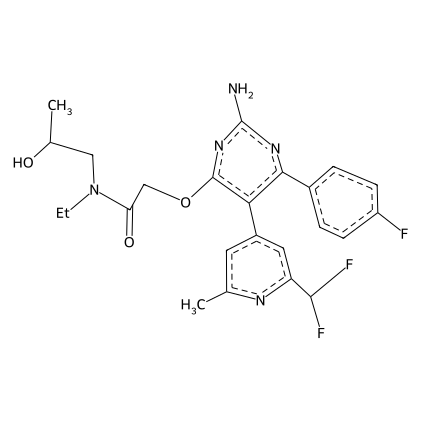 CCN(CC(C)O)C(=O)COc1nc(N)nc(-c2ccc(F)cc2)c1-c1cc(C)nc(C(F)F)c1